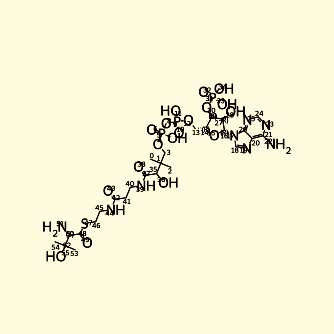 CC(C)(COP(=O)(O)OP(=O)(O)OC[C@H]1O[C@@H](n2cnc3c(N)ncnc32)[C@H](O)[C@@H]1OP(=O)(O)O)C(O)C(=O)NCCC(=O)NCCSC(=O)[C@@H](N)C(C)(C)O